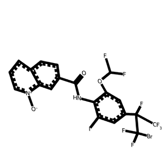 O=C(Nc1c(I)cc(C(F)(C(F)(F)F)C(F)(F)Br)cc1OC(F)F)c1ccc2ccc[n+]([O-])c2c1